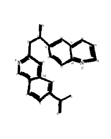 CC(C)c1ccc2cnc(CC(C)c3ccc4ncccc4c3)cc2c1